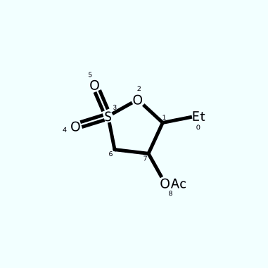 CCC1OS(=O)(=O)CC1OC(C)=O